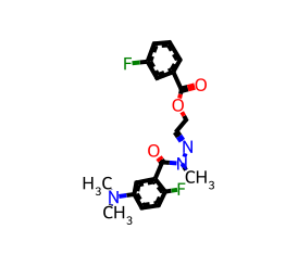 CN(N=CCOC(=O)c1cccc(F)c1)C(=O)c1cc(N(C)C)ccc1F